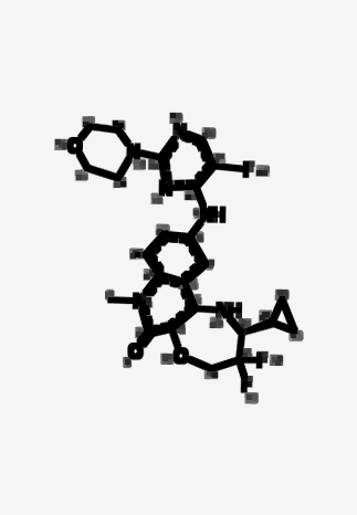 Cn1c(=O)c2c(c3cc(Nc4nc(N5CCOCC5)ncc4F)ccc31)N[C@@H](C1CC1)C(F)(F)CO2